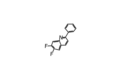 Fc1cc2ccc(-c3ccccc3)nc2cc1F